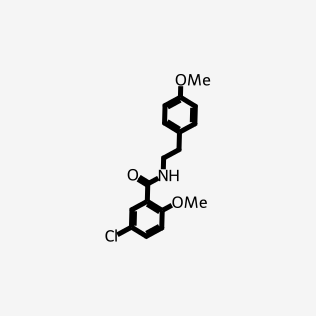 COc1ccc(CCNC(=O)c2cc(Cl)ccc2OC)cc1